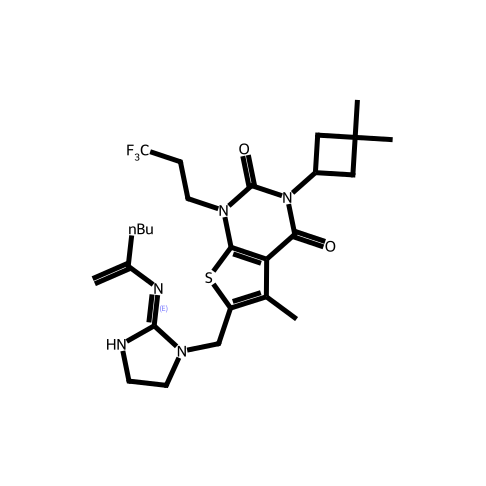 C=C(CCCC)/N=C1\NCCN1Cc1sc2c(c1C)c(=O)n(C1CC(C)(C)C1)c(=O)n2CCC(F)(F)F